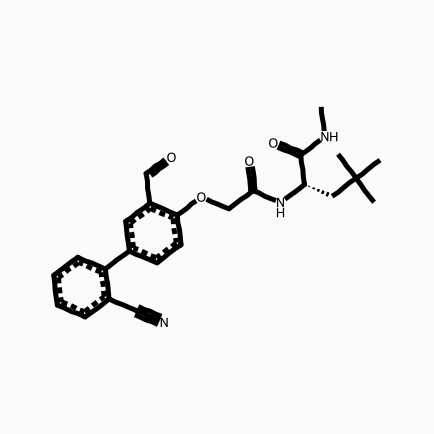 CNC(=O)[C@H](CC(C)(C)C)NC(=O)COc1ccc(-c2ccccc2C#N)cc1C=O